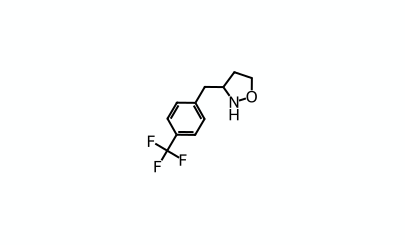 FC(F)(F)c1ccc(CC2CCON2)cc1